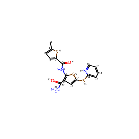 Cc1ccc(C(=O)Nc2sc(Sc3ccccn3)cc2C(N)=O)s1